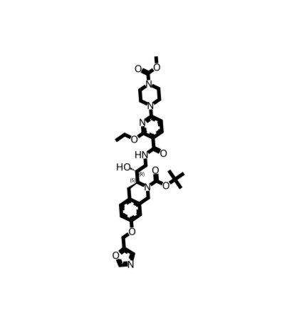 CCOc1nc(N2CCN(C(=O)OC)CC2)ccc1C(=O)NC[C@@H](O)[C@@H]1Cc2ccc(OCc3cnco3)cc2CN1C(=O)OC(C)(C)C